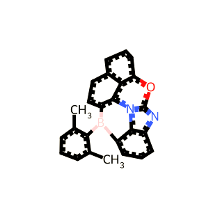 Cc1cccc(C)c1B1c2cccc3nc4oc5cccc6ccc1c(c65)n4c23